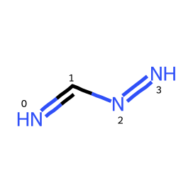 N=CN=N